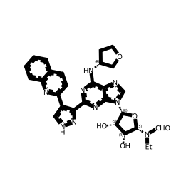 CCN(C=O)[C@H]1O[C@@H](n2cnc3c(N[C@@H]4CCOC4)nc(-c4n[nH]cc4-c4ccc5ccccc5n4)nc32)[C@@H](O)[C@H]1O